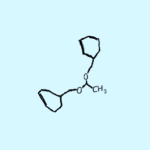 CC(OCC1CC=CCC1)OCC1CC=CCC1